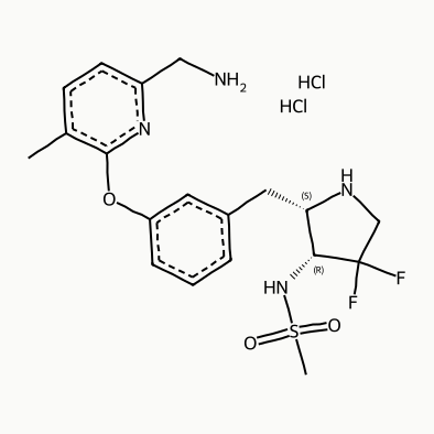 Cc1ccc(CN)nc1Oc1cccc(C[C@@H]2NCC(F)(F)[C@@H]2NS(C)(=O)=O)c1.Cl.Cl